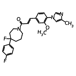 COc1cc(C=CC(=O)N2CCCC(F)(c3ccc(F)cc3)CC2)ccc1-n1cnc(C)c1